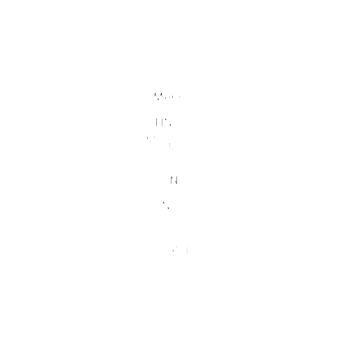 COc1ccccc1NC(=O)OCCN1CCN(c2cccc(C)c2)CC1